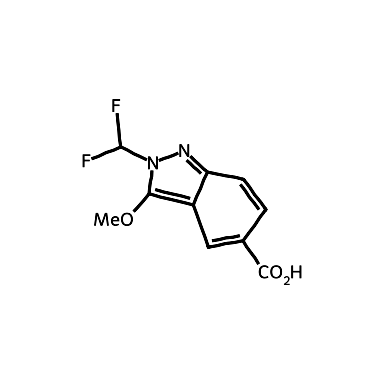 COc1c2cc(C(=O)O)ccc2nn1C(F)F